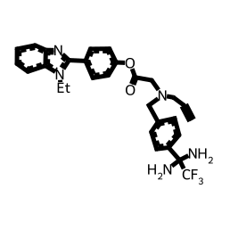 C#CCN(CC(=O)Oc1ccc(-c2nc3ccccc3n2CC)cc1)Cc1ccc(C(N)(N)C(F)(F)F)cc1